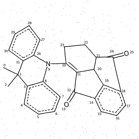 CC1(C)c2ccccc2N(C2=C3C(=O)c4cccc5c4C3C(CC2)C5=O)c2ccccc21